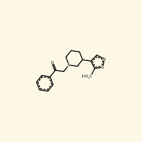 CCOC(=O)c1sncc1C1CCCN(CC(=O)c2ccccc2)C1